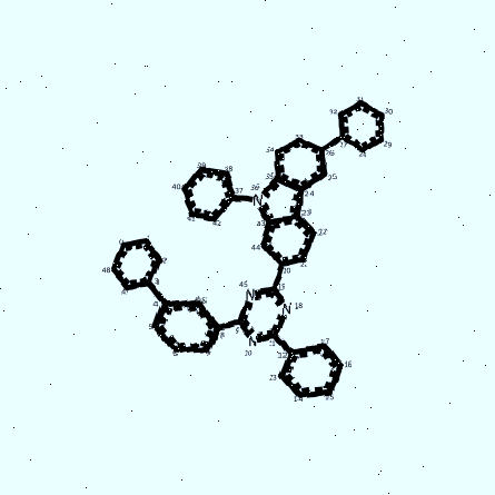 c1ccc(-c2cccc(-c3nc(-c4ccccc4)nc(-c4ccc5c6cc(-c7ccccc7)ccc6n(-c6ccccc6)c5c4)n3)c2)cc1